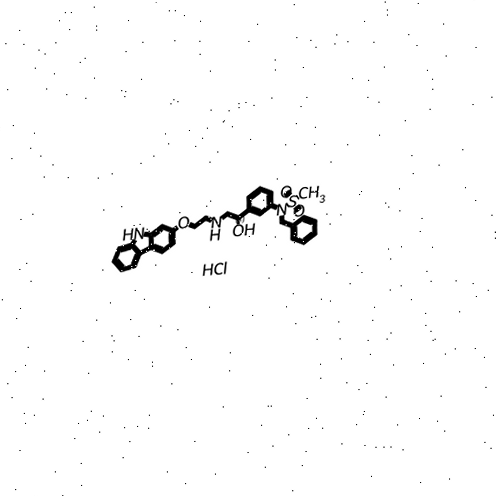 CS(=O)(=O)N(Cc1ccccc1)c1cccc([C@@H](O)CNCCOc2ccc3c(c2)[nH]c2ccccc23)c1.Cl